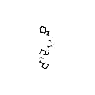 CCCC(NC(=O)Oc1cc2ccccc2o1)C(=O)N1CCC2C1C(=O)CN2S(=O)(=O)C(=O)c1ccccn1